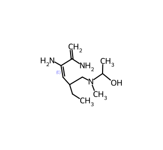 C=C(N)/C(N)=C\C(CC)CN(C)C(C)O